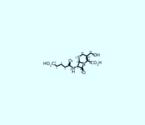 O=C(O)CCCC(=O)N[C@@H]1C(=O)N2C(C(=O)O)=C(CO)CSC12